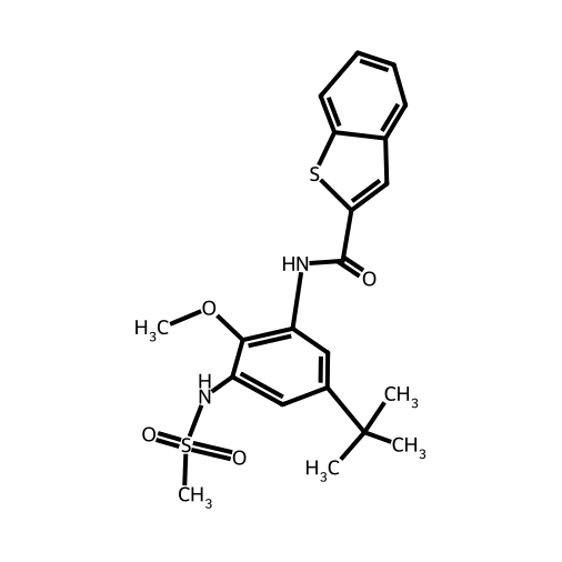 COc1c(NC(=O)c2cc3ccccc3s2)cc(C(C)(C)C)cc1NS(C)(=O)=O